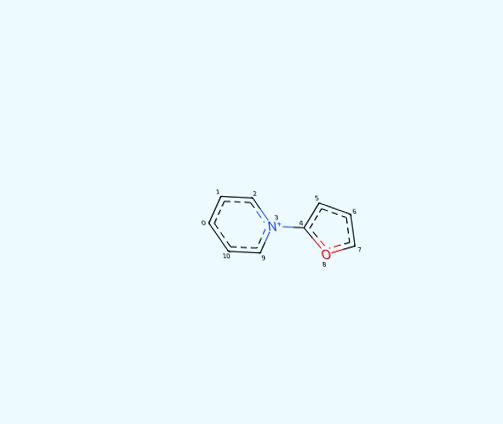 c1cc[n+](-c2ccco2)cc1